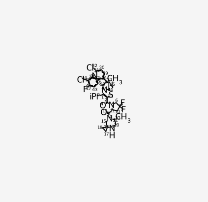 CC(C)C1=C(C(=O)N2CC(F)(F)C[C@H]2C(=O)N2CC3(CC3)NC[C@@H]2C)SC2=N[C@@](C)(c3ccc(Cl)nc3)[C@@H](c3ccc(Cl)c(F)c3)N21